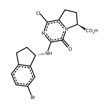 O=C(O)[C@@H]1CCc2c(Cl)nc(N[C@H]3CCc4ccc(Br)cc43)c(=O)n21